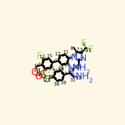 Cc1nc(C(F)F)c(C)n1-c1ccc(-c2cc(F)c(CO)c([S+](C)[O-])c2)cc1N(N)/C(=C\N)c1ccc(Cl)cc1